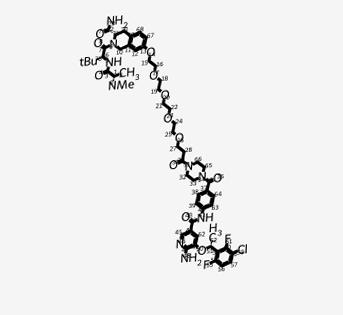 CN[C@@H](C)C(=O)N[C@H](C(=O)N1Cc2cc(OCCOCCOCCOCCOCCC(=O)N3CCN(C(=O)c4ccc(NC(=O)c5cnc(N)c(O[C@H](C)c6c(F)ccc(Cl)c6F)c5)cc4)CC3)ccc2C[C@H]1C(N)=O)C(C)(C)C